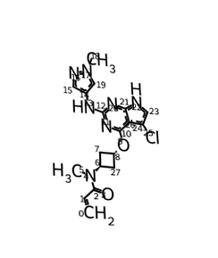 C=CC(=O)N(C)[C@H]1C[C@H](Oc2nc(Nc3cnn(C)c3)nc3[nH]cc(Cl)c23)C1